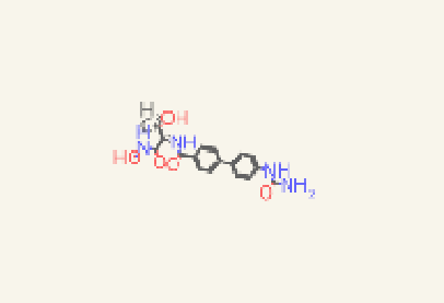 C[C@@H](O)[C@H](NC(=O)c1ccc(-c2ccc(NC(N)=O)cc2)cc1)C(=O)NO